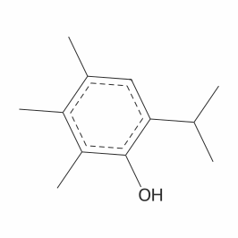 Cc1cc(C(C)C)c(O)c(C)c1C